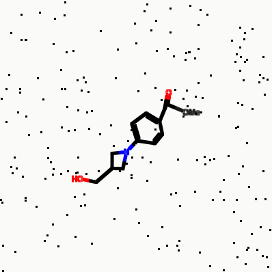 COC(=O)c1ccc(N2CC(CO)C2)cc1